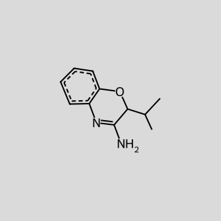 CC(C)C1Oc2ccccc2N=C1N